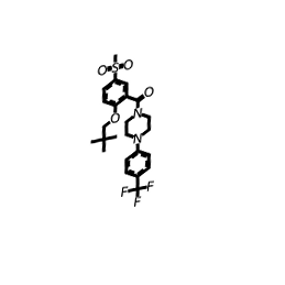 CC(C)(C)COc1ccc(S(C)(=O)=O)cc1C(=O)N1CCN(c2ccc(C(F)(F)F)cc2)CC1